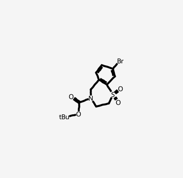 CC(C)(C)OC(=O)N1CCS(=O)(=O)c2cc(Br)ccc2C1